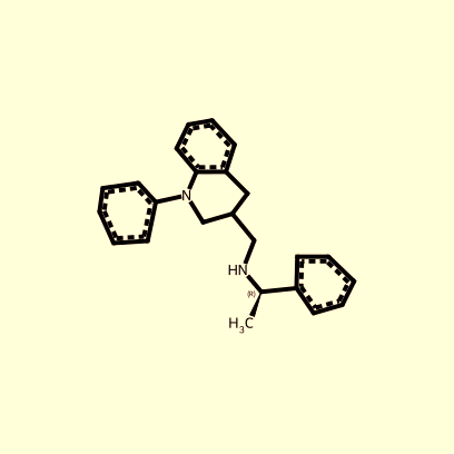 C[C@@H](NCC1Cc2ccccc2N(c2ccccc2)C1)c1ccccc1